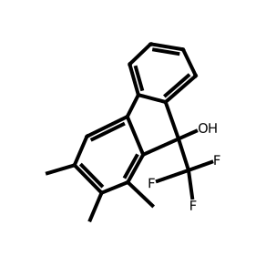 Cc1cc2c(c(C)c1C)C(O)(C(F)(F)F)c1ccccc1-2